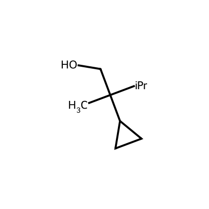 CC(C)C(C)(CO)C1CC1